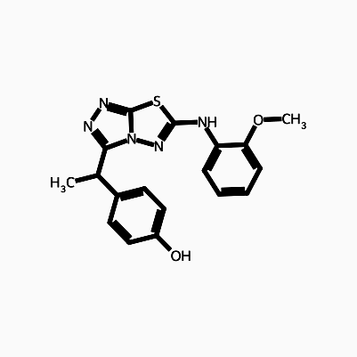 COc1ccccc1Nc1nn2c(C(C)c3ccc(O)cc3)nnc2s1